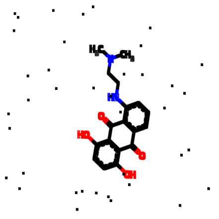 CN(C)CCNc1cccc2c1C(=O)c1c(O)ccc(O)c1C2=O